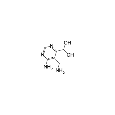 NCc1c(N)ncnc1C(O)O